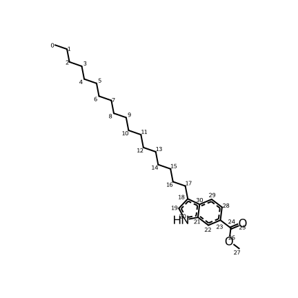 CCCCCCCCCCCCCCCCCCc1c[nH]c2cc(C(=O)OC)ccc12